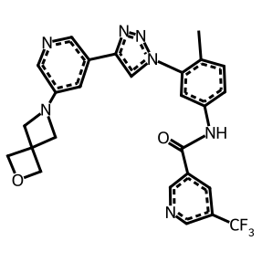 Cc1ccc(NC(=O)c2cncc(C(F)(F)F)c2)cc1-n1cc(-c2cncc(N3CC4(COC4)C3)c2)nn1